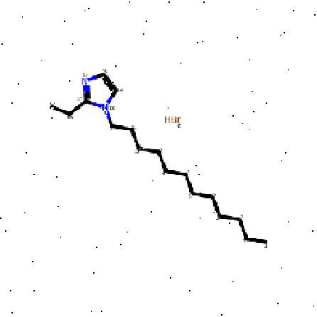 Br.CCCCCCCCCCCCn1ccnc1CC